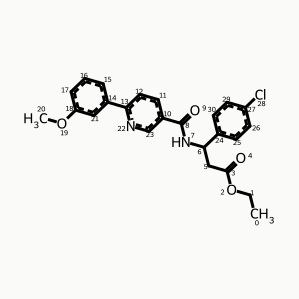 CCOC(=O)CC(NC(=O)c1ccc(-c2cccc(OC)c2)nc1)c1ccc(Cl)cc1